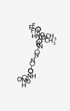 CC(C)Oc1cc2nc(C3CCN(CCN4CCC(c5ccc(NC6CCC(=O)NC6=O)cc5)CC4)CC3)cn2cc1NC(=O)c1cccc(C(F)(F)F)n1